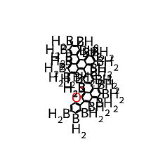 Bc1cc2oc3c(B)c4c(-c5c(B)c(B)c(-c6c7c(B)c(B)c(B)c(B)c7c(-c7c(B)c(B)c(B)c(B)c7B)c7c(B)c(B)c(B)c(B)c67)c(B)c5B)c(B)c(B)c(B)c4c(B)c3c2c(B)c1B